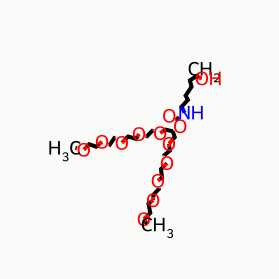 C=C(O)CCCCCNC(=O)OC(COCCOCCOCCOCCOC)COCCOCCOCCOCCOC